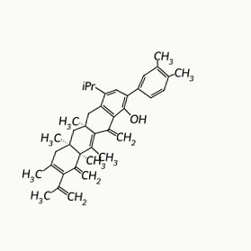 C=C(C)C1=C(C)C[C@@]2(C)C[C@@]3(C)Cc4c(C(C)C)cc(-c5ccc(C)c(C)c5)c(O)c4C(=C)C3=C(C)[C@@]2(C)C1=C